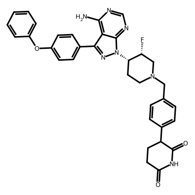 Nc1ncnc2c1c(-c1ccc(Oc3ccccc3)cc1)nn2[C@H]1CCN(Cc2ccc(C3CCC(=O)NC3=O)cc2)C[C@H]1F